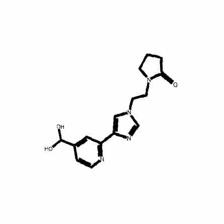 O=C1CCCN1CCn1cnc(-c2cc(C(O)O)ccn2)c1